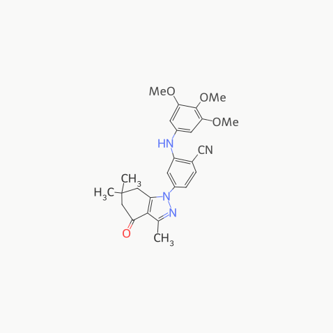 COc1cc(Nc2cc(-n3nc(C)c4c3CC(C)(C)CC4=O)ccc2C#N)cc(OC)c1OC